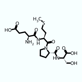 CSCC[C@H](NC(=O)[C@@H](N)CCC(=O)O)C(=O)N1CCC[C@H]1C(=O)N[C@@H](CO)C(=O)O